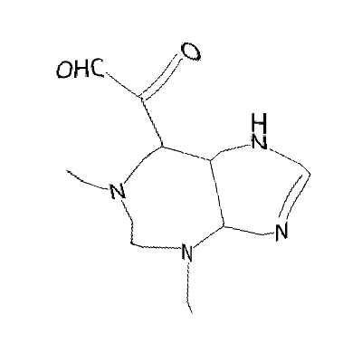 CN1CN(C)C(C(=O)C=O)C2NC=NC21